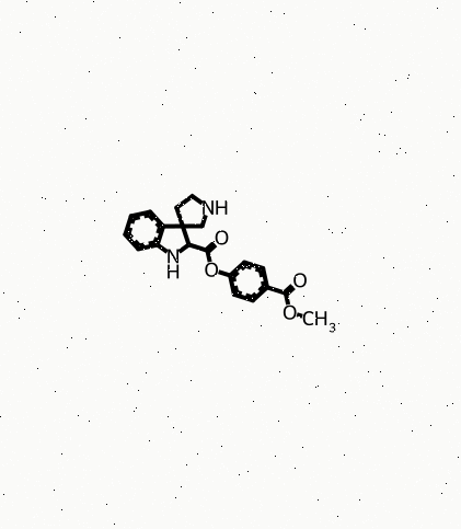 COC(=O)c1ccc(OC(=O)C2Nc3ccccc3C23CCNC3)cc1